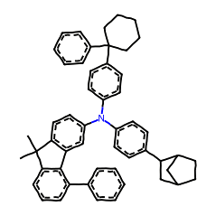 CC1(C)c2ccc(N(c3ccc(C4CC5CCC4C5)cc3)c3ccc(C4(c5ccccc5)CCCCC4)cc3)cc2-c2c(-c3ccccc3)cccc21